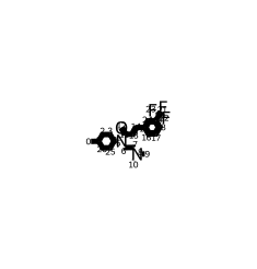 CC1CCC(N(CCN(C)C)C(=O)C=Cc2cccc(C(F)(F)F)c2)CC1